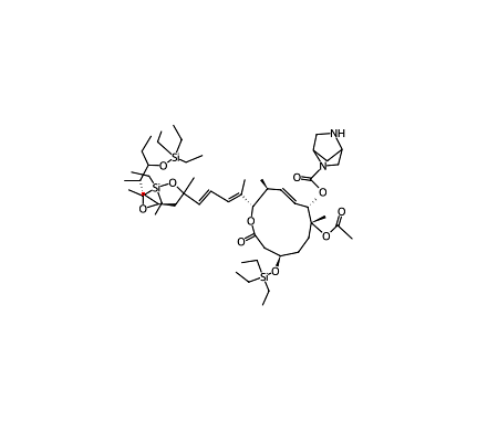 CCC(O[Si](CC)(CC)CC)C(C)[C@H]1O[C@@H]1CC(C)(/C=C/C=C(\C)[C@H]1OC(=O)C[C@H](O[Si](CC)(CC)CC)CC[C@@](C)(OC(C)=O)[C@@H](OC(=O)N2CC3CC2CN3)/C=C/[C@@H]1C)O[Si](CC)(CC)CC